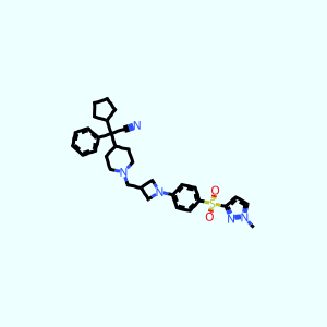 Cn1ccc(S(=O)(=O)c2ccc(N3CC(CN4CCC(C(C#N)(c5ccccc5)C5CCCC5)CC4)C3)cc2)n1